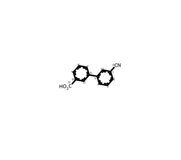 N#Cc1cccc(-c2cccc(C(=O)O)c2)c1